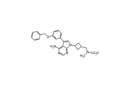 [CH2]N(CC1CC(n2cc(-c3cccc(OCc4ccccc4)c3)c3c(N)ncnc32)C1)C(=O)O